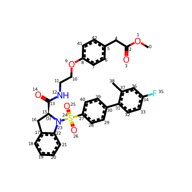 COC(=O)Cc1ccc(OCCNC(=O)[C@@H]2Cc3ccccc3N2S(=O)(=O)c2ccc(-c3ccc(F)cc3C)cc2)cc1